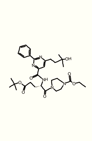 CCOC(=O)N1CCN(C(=O)[C@H](CCC(=O)OC(C)(C)C)NC(=O)c2cc(CCC(C)(C)O)nc(-c3ccccc3)n2)CC1